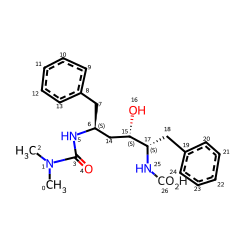 CN(C)C(=O)N[C@@H](Cc1ccccc1)C[C@H](O)[C@H](Cc1ccccc1)NC(=O)O